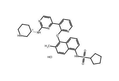 Cc1ccc2c(NS(=O)(=O)C3CCCC3)cccc2c1Oc1ncccc1-c1ccnc(N[C@H]2CCCNC2)n1.Cl